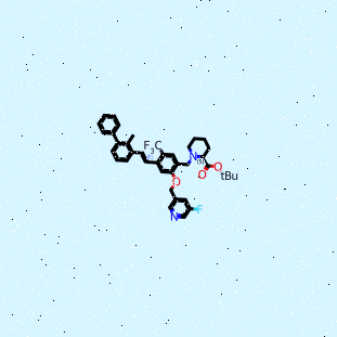 Cc1c(/C=C/c2cc(OCc3cncc(F)c3)c(CN3CCCC[C@H]3C(=O)OC(C)(C)C)cc2C(F)(F)F)cccc1-c1ccccc1